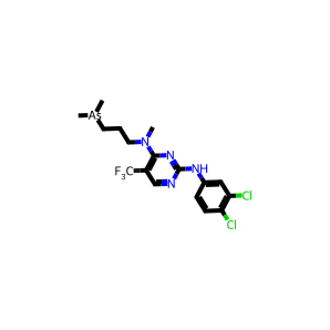 CN(CCC[As](C)C)c1nc(Nc2ccc(Cl)c(Cl)c2)ncc1C(F)(F)F